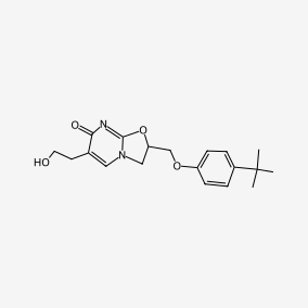 CC(C)(C)c1ccc(OCC2Cn3cc(CCO)c(=O)nc3O2)cc1